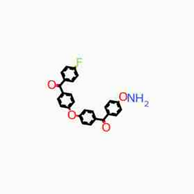 NOc1ccc(C(=O)c2ccc(Oc3ccc(C(=O)c4ccc(F)cc4)cc3)cc2)cc1